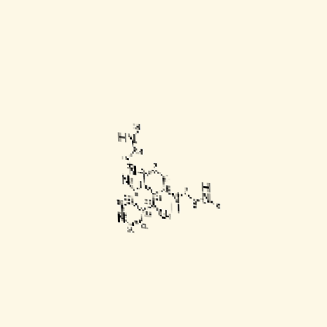 CNCCNc1ccc2c3c(nn2CCNC)-c2cnccc2C(=O)c13